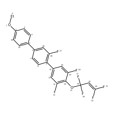 CCOc1ccc(-c2ccc(-c3cc(F)c(OC(F)(F)C=C(F)F)c(F)c3)c(F)c2)cc1